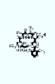 CC(=O)N[C@H](C(=O)N[C@@H](CC(=O)O)C(=O)N[C@H](C(=O)N[C@@H](C)C(=O)N[C@@H](CC(=O)O)C(=O)COC(=O)c1c(C)cccc1C)C(C)C)C(C)C